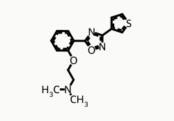 CN(C)CCOc1ccccc1-c1nc(-c2ccsc2)no1